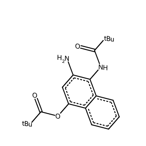 CC(C)(C)C(=O)Nc1c(N)cc(OC(=O)C(C)(C)C)c2ccccc12